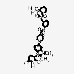 C=C1N(C)c2cc(N3CCC(C(=O)Nc4cccc(CS(=O)(=O)N5CCCCC5(C)C)c4)CC3)ccc2N1C1CCC(=O)NC1=O